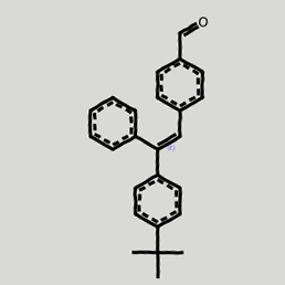 CC(C)(C)c1ccc(/C(=C/c2ccc(C=O)cc2)c2ccccc2)cc1